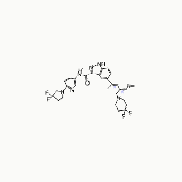 C=N/C=C(\C=C(/C)c1ccc2[nH]nc(C(=O)Nc3ccc(N4CCC(F)(F)C4)nc3)c2c1)CN1CCC(F)(F)CC1